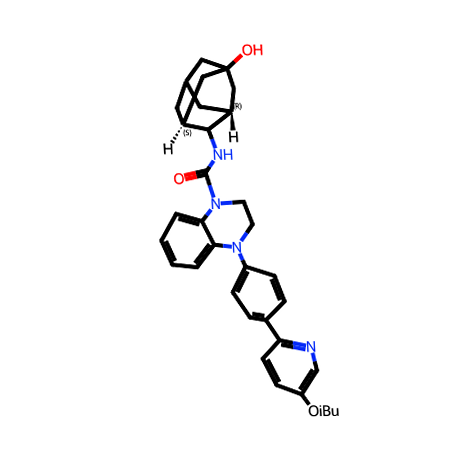 CC(C)COc1ccc(-c2ccc(N3CCN(C(=O)NC4[C@@H]5CC6C[C@H]4CC(O)(C6)C5)c4ccccc43)cc2)nc1